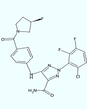 NC(=O)c1nn(-c2c(Cl)ccc(F)c2F)nc1Nc1ccc(C(=O)N2CC[C@@H](F)C2)cc1